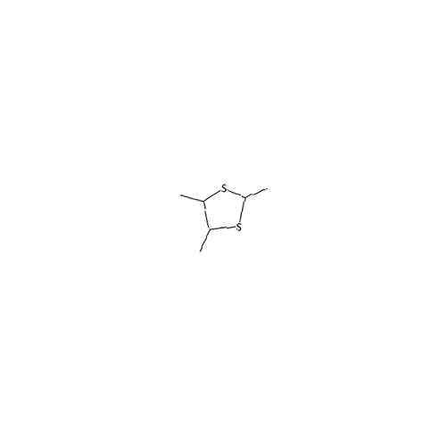 CC1SC(C)C(C)S1